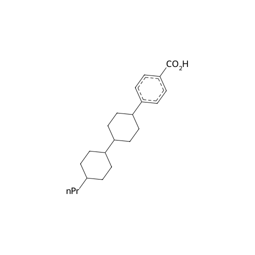 CCCC1CCC(C2CCC(c3ccc(C(=O)O)cc3)CC2)CC1